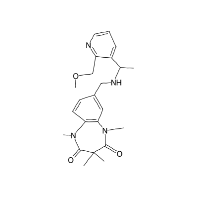 COCc1ncccc1C(C)NCc1ccc2c(c1)N(C)C(=O)C(C)(C)C(=O)N2C